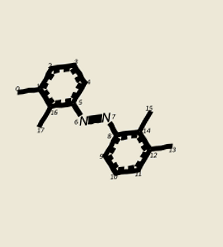 Cc1cccc(N=Nc2cccc(C)c2C)c1C